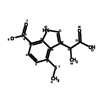 CSc1ccc([N+](=O)[O-])c2[nH]cc(C(C)C(=O)O)c12